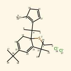 CCSC1(C(C)(C)C2=[C]([Ti+2])CC=C2)CC=C(C(C)(C)C)C=C1C(C)(C)C.[Cl-].[Cl-]